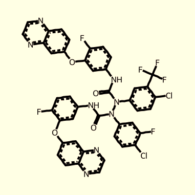 O=C(Nc1ccc(F)c(Oc2ccc3nccnc3c2)c1)N(c1ccc(Cl)c(F)c1)N(C(=O)Nc1ccc(F)c(Oc2ccc3nccnc3c2)c1)c1ccc(Cl)c(C(F)(F)F)c1